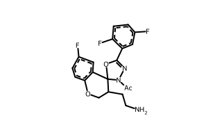 CC(=O)N1N=C(c2cc(F)ccc2F)OC12c1cc(F)ccc1OCC2CCN